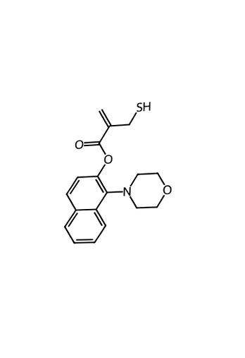 C=C(CS)C(=O)Oc1ccc2ccccc2c1N1CCOCC1